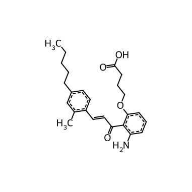 CCCCCc1ccc(C=CC(=O)c2c(N)cccc2OCCCC(=O)O)c(C)c1